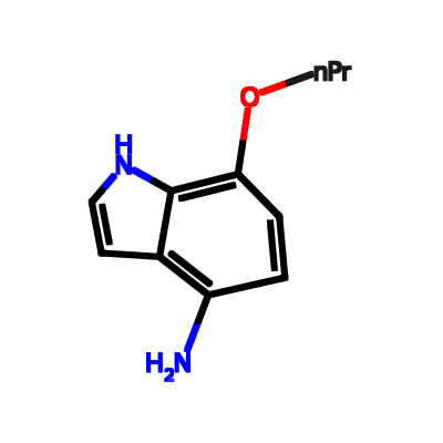 CCCOc1ccc(N)c2cc[nH]c12